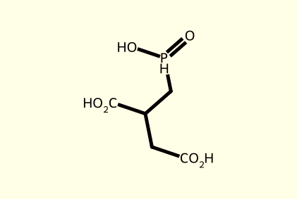 O=C(O)CC(C[PH](=O)O)C(=O)O